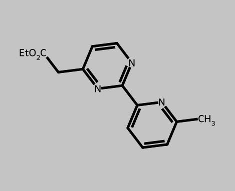 CCOC(=O)Cc1ccnc(-c2cccc(C)n2)n1